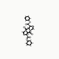 O=C(Oc1ccccc1)c1ncn2c(=O)c3c(C(=O)Oc4ccccc4)ncn3c(=O)c12